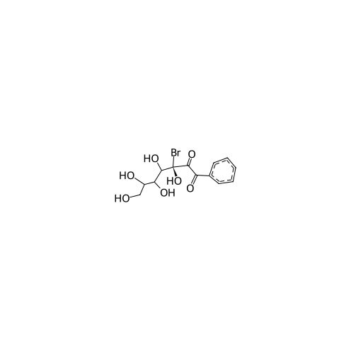 O=C(C(=O)[C@@](O)(Br)C(O)C(O)C(O)CO)c1ccccc1